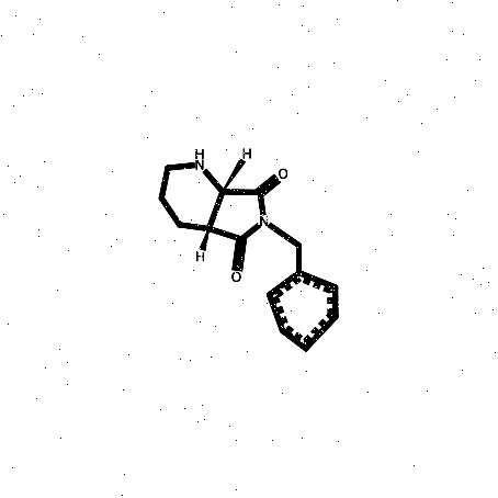 O=C1[C@H]2NCCC[C@H]2C(=O)N1Cc1ccccc1